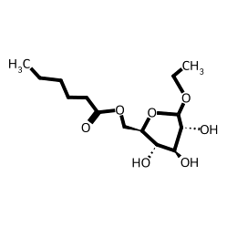 CCCCCC(=O)OC[C@H]1OC(OCC)[C@H](O)[C@@H](O)[C@@H]1O